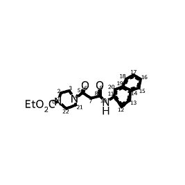 CCOC(=O)N1CCN(C(=O)CC(=O)Nc2ccc3ccccc3c2)CC1